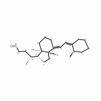 C[C@@H]1CCCC/C1=C/C=C1\CCC[C@]2(C)[C@@H]([C@H](C)CCC=O)CC[C@@H]12